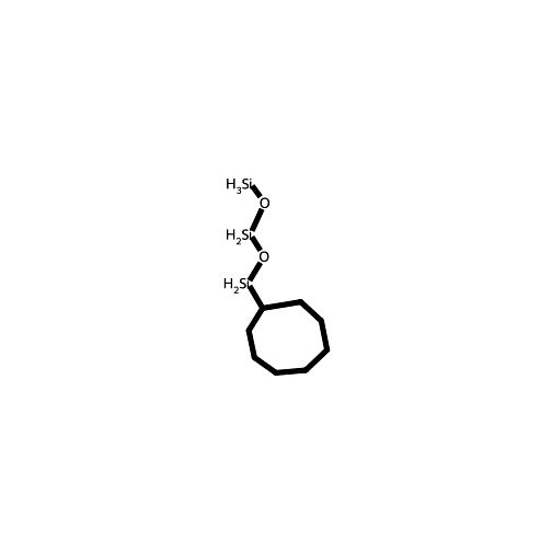 [SiH3]O[SiH2]O[SiH2]C1CCCCCCC1